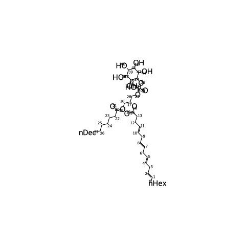 CCCCCCC=CCC=CCC=CCC=CCCC(=O)OC(COC(=O)CCCCCCCCCCCCCCC)COP(=O)(O)OC1C(O)C(O)C(O)C(O)C1O